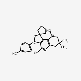 CC(C)c1nc2c(c3c1[C@@H](c1ccc(C#N)cc1)OC31CCCC1)[C@@H](O)CC(C)(C)C2